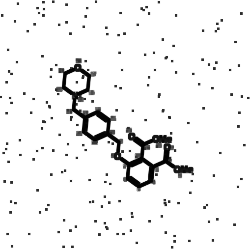 COC(=O)c1cccc(OCc2ccc(CN3CCOCC3)cc2)c1C(=O)OC